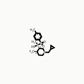 Cc1ccc(S(=O)(=O)S(C)(S)[C@@H]2CN(CC3CC3)CC[C@H]2C(F)(F)F)cc1